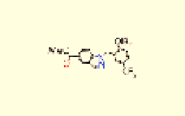 COC(=O)c1ccc2c(cnn2Cc2cc(C(F)(F)F)ccc2OCC(C)C)c1